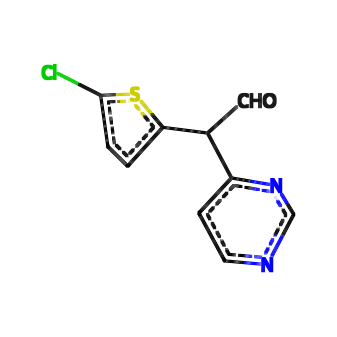 O=CC(c1ccncn1)c1ccc(Cl)s1